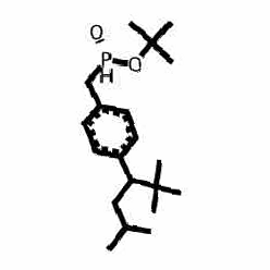 CC(C)CC(c1ccc(C[PH](=O)OC(C)(C)C)cc1)C(C)(C)C